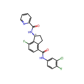 O=C(N[C@H]1CCc2c(C(=O)Nc3ccc(F)c(Cl)c3)ccc(F)c21)c1ccccn1